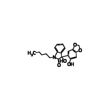 CCCCCN1C(=O)C(O)(c2cc3c(cc2O)OCO3)c2ccccc21